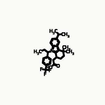 CCC(c1ccc(C(F)(F)F)cc1)n1c2c(c3cc(C(C)C)ccc31)C(C)(C)CCC2CC(=O)O